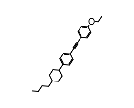 CCCCC1CCC(c2ccc(C#Cc3ccc(OCC)cc3)cc2)CC1